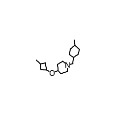 CC1CCC(CN2CCC(OC3CC(C)C3)CC2)CC1